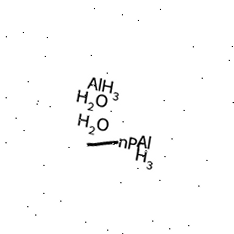 CCCC.O.O.[AlH3].[AlH3]